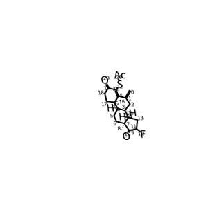 C=C1C[C@@H]2[C@@H](CC[C@]3(C)C(=O)C(F)C[C@@H]23)[C@@]2(C)CCC(=O)C(SC(C)=O)=C12